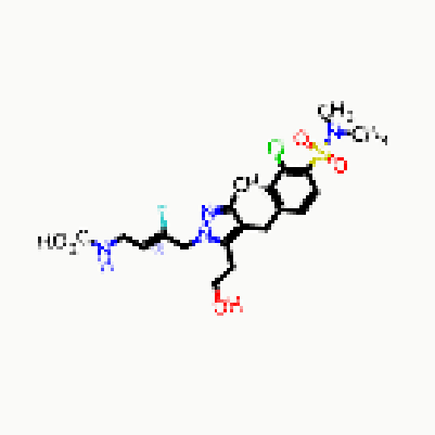 Cc1nn(C/C(F)=C/CNC(=O)O)c(CCO)c1Cc1ccc(S(=O)(=O)N(C)C)c(Cl)c1